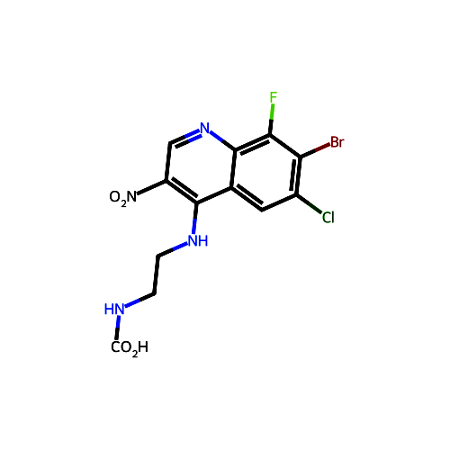 O=C(O)NCCNc1c([N+](=O)[O-])cnc2c(F)c(Br)c(Cl)cc12